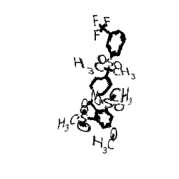 COc1cc(S(C)(=O)=O)c(C(=O)N2CCC(C(C)(C)S(=O)(=O)c3cccc(C(F)(F)F)c3)CC2)c(S(C)(=O)=O)c1